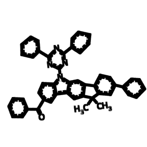 CC1(C)c2cc(-c3ccccc3)ccc2-c2cc3c(cc21)c1cc(C(=O)c2ccccc2)ccc1n3-c1nc(-c2ccccc2)nc(-c2ccccc2)n1